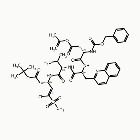 C=C(C)OC(=O)C[C@H](NC(=O)OCc1ccccc1)C(=O)N[C@@H](Cc1ccc2ccccc2n1)C(=O)N[C@H](C(=O)N[C@H](/C=C(\Cl)S(C)(=O)=O)CC(=O)OC(C)(C)C)C(C)C